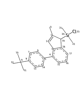 CC1=Cc2c(-c3ccc(C(C)(C)C)cc3)cccc2C1[Si](C)(C)Cl